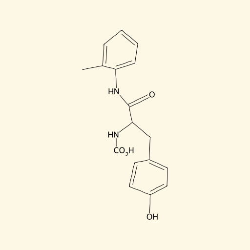 Cc1ccccc1NC(=O)C(Cc1ccc(O)cc1)NC(=O)O